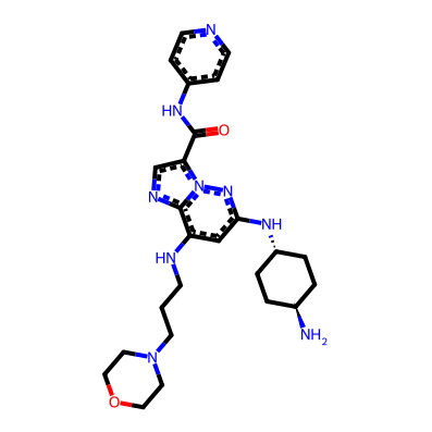 N[C@H]1CC[C@H](Nc2cc(NCCCN3CCOCC3)c3ncc(C(=O)Nc4ccncc4)n3n2)CC1